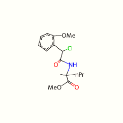 CCCC(C)(NC(=O)C(Cl)c1ccccc1OC)C(=O)OC